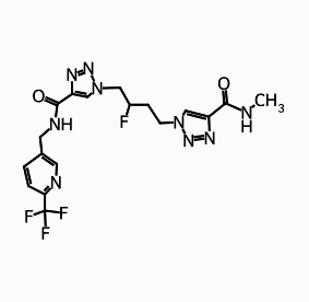 CNC(=O)c1cn(CCC(F)Cn2cc(C(=O)NCc3ccc(C(F)(F)F)nc3)nn2)nn1